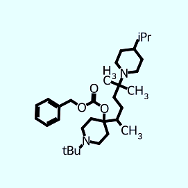 CC(C)C1CCN(C(C)(C)CCC(C)C2(OC(=O)OCc3ccccc3)CCN(C(C)(C)C)CC2)CC1